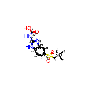 C[Si](C)(C)CS(=O)(=O)c1ccc2[nH]c(NC(=O)O)nc2c1